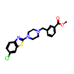 COC(=O)c1cccc(CN2CCN(c3nc4ccc(Cl)cc4s3)CC2)c1